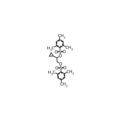 Cc1cc(C)c(S(=O)(=O)OCC(OS(=O)(=O)c2c(C)cc(C)cc2C)C2CC2)c(C)c1